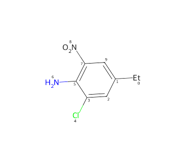 CCc1cc(Cl)c(N)c([N+](=O)[O-])c1